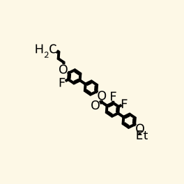 C=CCCOc1ccc(-c2ccc(OC(=O)c3ccc(-c4ccc(OCC)cc4)c(F)c3F)cc2)cc1F